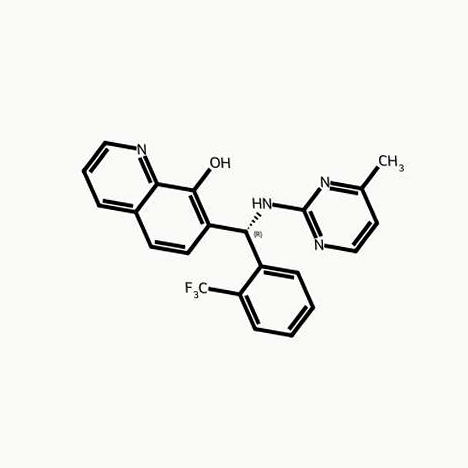 Cc1ccnc(N[C@H](c2ccccc2C(F)(F)F)c2ccc3cccnc3c2O)n1